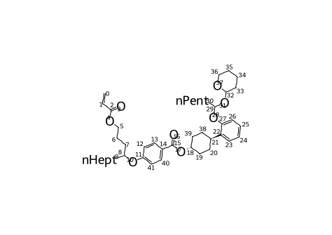 C=CC(=O)OCCCC(CCCCCCC)Oc1ccc(C(=O)O[C@H]2CC[C@H](c3ccccc3OC(CCCCC)OC3CCCCO3)CC2)cc1